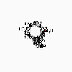 CC(C)CCCCCCCCC(=O)NC(Cc1c[nH]c2ccccc12)C(=O)NC(CC(N)=O)C(=O)NC(CC(=O)O)C(=O)NC1C(=O)NCC(=O)NC(CCCN)C(=O)NC(CC(=O)O)C(=O)NC(CC(N)=O)C(=O)NC(CC(=O)O)C(=O)NCC(=O)NC(CO)C(=O)NC(C(C)CC(=O)O)C(=O)NC(C(C)C)C(=O)OC1C